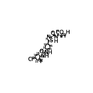 CC(C)C(NC(=O)c1ncc(-c2ccc(NC(=O)Nc3ccc(Cl)cc3F)cc2)s1)C(=O)O